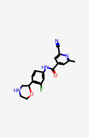 Cc1cc(C(=O)Nc2ccc(C3CNCCO3)c(F)c2)cc(C#N)n1